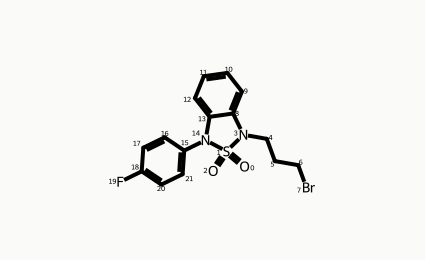 O=S1(=O)N(CCCBr)c2ccccc2N1c1ccc(F)cc1